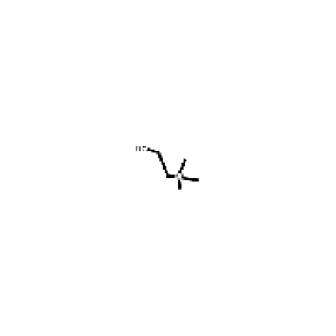 C[N+](C)(C)CCC#N